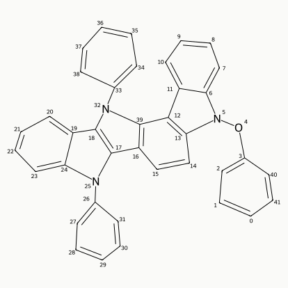 c1ccc(On2c3ccccc3c3c2ccc2c4c(c5ccccc5n4-c4ccccc4)n(-c4ccccc4)c23)cc1